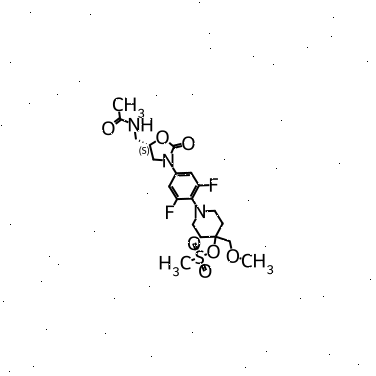 COCC1(OS(C)(=O)=O)CCN(c2c(F)cc(N3C[C@H](CNC(C)=O)OC3=O)cc2F)CC1